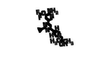 CC(C)(O)CN1C[C@@H]2C(c3cc(-c4cnc(N)c(OC(F)F)c4)nc(C4CC4)n3)[C@@H]2C1